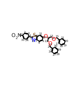 O=[N+]([O-])c1ccc(-c2nc3ccc(OC(COCc4ccccc4)COCc4ccccc4)cc3s2)cc1